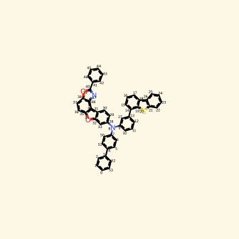 c1ccc(-c2ccc(N(c3cccc(-c4cccc5c4sc4ccccc45)c3)c3ccc4c(c3)oc3ccc5oc(-c6ccccc6)nc5c34)cc2)cc1